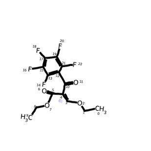 CCO/C=C(/C(=O)OCC)C(=O)c1c(F)c(F)c(F)c(F)c1F